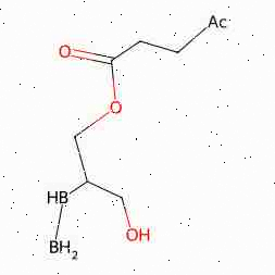 BBC(CO)COC(=O)CCC(C)=O